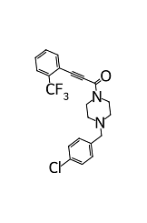 O=C(C#Cc1ccccc1C(F)(F)F)N1CCN(Cc2ccc(Cl)cc2)CC1